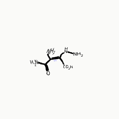 NN/C(C(=O)O)=C(\N)C(N)=O